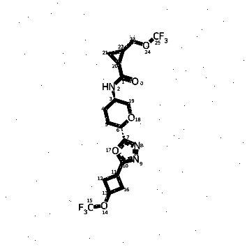 O=C(N[C@@H]1CC[C@@H](c2nnc(C3CC(OC(F)(F)F)C3)o2)OC1)C1CC1COC(F)(F)F